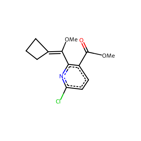 COC(=O)c1ccc(Cl)nc1C(OC)=C1CCC1